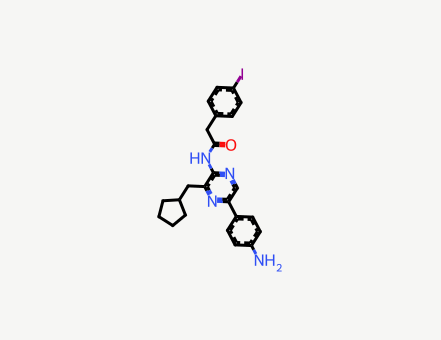 Nc1ccc(-c2cnc(NC(=O)Cc3ccc(I)cc3)c(CC3CCCC3)n2)cc1